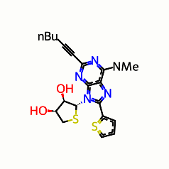 CCCCC#Cc1nc(NC)c2nc(-c3cccs3)n([C@@H]3SC[C@@H](O)[C@H]3O)c2n1